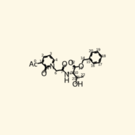 CC(=O)c1cccn(CC(=O)N[C@H](C(=O)OCc2ccccc2)[C@@H](C)O)c1=O